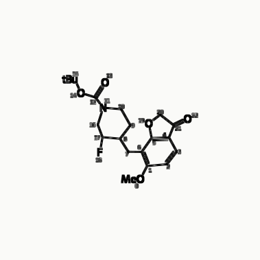 COc1ccc2c(c1CC1CCN(C(=O)OC(C)(C)C)CC1F)OCC2=O